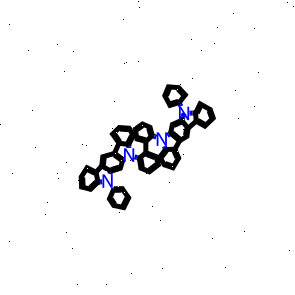 c1ccc(-n2c3ccccc3c3cc4c5ccccc5n(-c5ccccc5-c5ccccc5-n5c6ccccc6c6cc7c8ccccc8n(-c8ccccc8)c7cc65)c4cc32)cc1